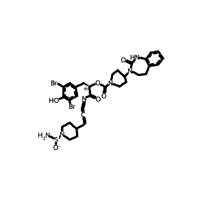 N[S+]([O-])N1CCC(C=C=C=NC(=O)[C@@H](Cc2cc(Br)c(O)c(Br)c2)OC(=O)N2CCC(N3CCc4ccccc4NC3=O)CC2)CC1